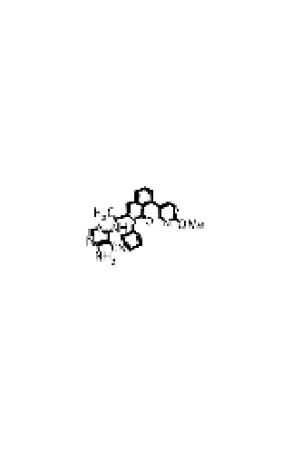 COc1ncc(-c2cccc3cc([C@H](C)Nc4ncnc(N)c4C#N)n(-c4ccccc4)c(=O)c23)cn1